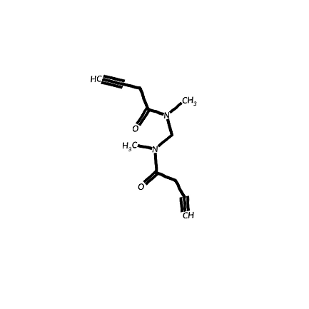 C#CCC(=O)N(C)CN(C)C(=O)CC#C